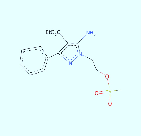 CCOC(=O)c1c(-c2ccccc2)nn(CCOS(C)(=O)=O)c1N